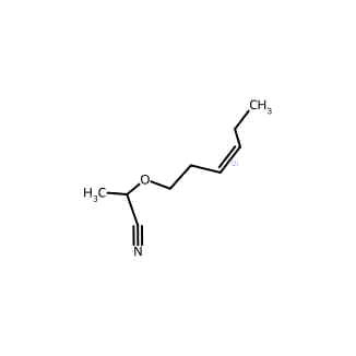 CC/C=C\CCOC(C)C#N